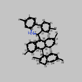 Cc1ccc2c(c1)NC(c1c3ccc(C)cc3c(-c3c(C)ccc4cc(C)ccc34)c3ccc(C)cc13)c1cc(C)ccc1-2